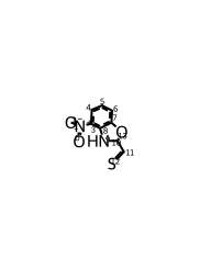 O=[N+]([O-])c1cccc2c1NC(C=S)O2